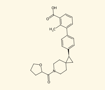 Cc1c(C(=O)O)cccc1-c1ccc([C@H]2CC23CCN(C(=O)C2CCCO2)CC3)cc1